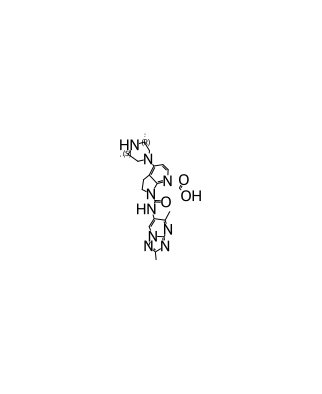 Cc1nc2nc(C)c(NC(=O)N3CCc4c(N5C[C@@H](C)N[C@@H](C)C5)ccnc43)cn2n1.O=CO